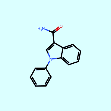 NC(=O)c1cn(-c2ccccc2)c2ccccc12